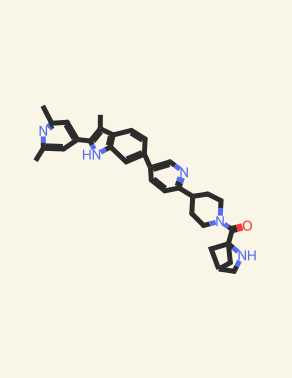 Cc1cc(-c2[nH]c3cc(-c4ccc(C5CCN(C(=O)C67CC(CN6)C7)CC5)nc4)ccc3c2C)cc(C)n1